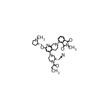 C=CC(=O)N1CCN(c2cc(OC[C@@H]3CCCN3C)nc3c2CCN(c2cccc4c2C(=O)N(C)C4=O)C3)C[C@@H]1CC#N